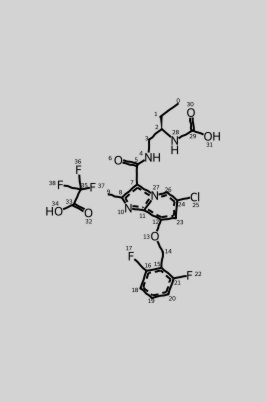 CC[C@H](CNC(=O)c1c(C)nc2c(OCc3c(F)cccc3F)cc(Cl)cn12)NC(=O)O.O=C(O)C(F)(F)F